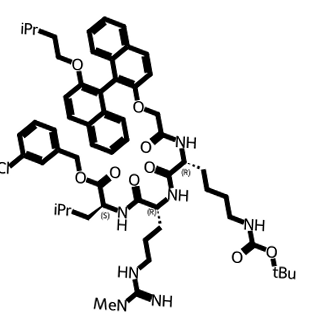 CNC(=N)NCCC[C@@H](NC(=O)[C@@H](CCCCNC(=O)OC(C)(C)C)NC(=O)COc1ccc2ccccc2c1-c1c(OCCC(C)C)ccc2ccccc12)C(=O)N[C@@H](CC(C)C)C(=O)OCc1cccc(Cl)c1